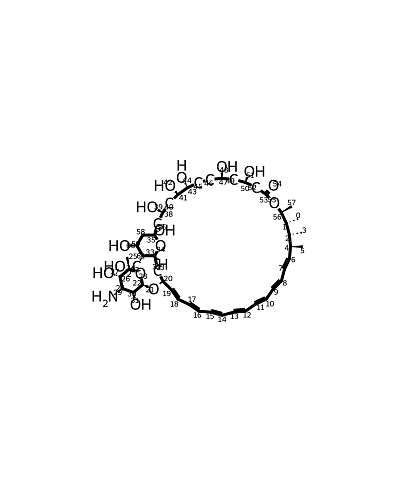 C[C@@H]1[C@H](C)[C@@H](C)/C=C/C=C/C=C/C=C/C=C/C=C/C=C/[C@H](O[C@@H]2O[C@H](C)[C@@H](O)[C@H](N)[C@@H]2O)C[C@@H]2O[C@](O)(C[C@@H](O)C[C@@H](O)[C@H](O)CC[C@@H](O)C[C@@H](O)CC(=O)O[C@H]1C)C[C@H](O)[C@H]2C(=O)O